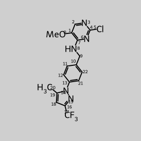 COc1cnc(Cl)nc1NCc1ccc(-n2nc(C(F)(F)F)cc2C)cc1